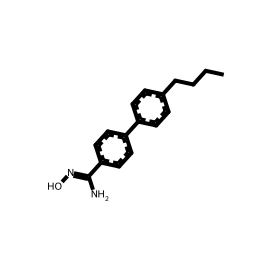 CCCCc1ccc(-c2ccc(/C(N)=N/O)cc2)cc1